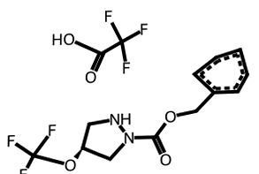 O=C(O)C(F)(F)F.O=C(OCc1ccccc1)N1C[C@@H](OC(F)(F)F)CN1